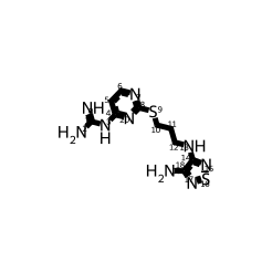 N=C(N)Nc1ccnc(SCCCNc2nsnc2N)n1